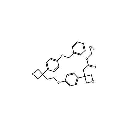 CCOC(=O)CC1(c2ccc(OCCC3(c4ccc(OCc5ccccc5)cc4)COC3)cc2)COC1